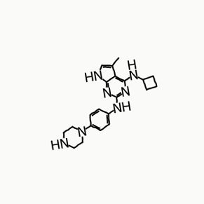 Cc1c[nH]c2nc(Nc3ccc(N4CCNCC4)cc3)nc(NC3CCC3)c12